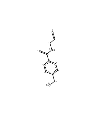 O=CCNC(=O)c1ccc(CO)cc1